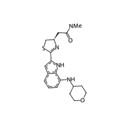 CNC(=O)C[C@@H]1CSC(c2cc3cccc(NC4CCOCC4)c3[nH]2)=N1